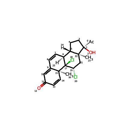 CC(=O)[C@@]1(O)CC[C@H]2[C@@H]3C=CC4=CC(=O)C=C[C@]4(C)[C@@]3(Cl)[C@@H](Cl)C[C@@]21C